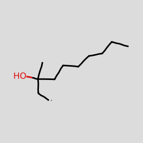 [CH2]CC(C)(O)CCCCCCC